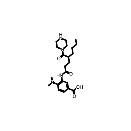 CCCCC(CCC(=O)Nc1cc(C(=O)O)ccc1N(C)C)C(=O)N1CCNCC1